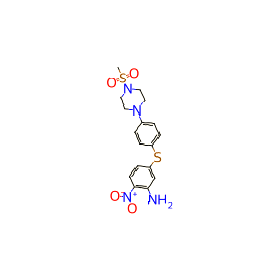 CS(=O)(=O)N1CCN(c2ccc(Sc3ccc([N+](=O)[O-])c(N)c3)cc2)CC1